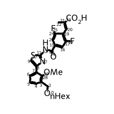 CCCCCCOCc1cccc(-c2csc(NC(=O)c3cc(F)c(/C=C(\C)C(=O)O)c(F)c3)n2)c1OC